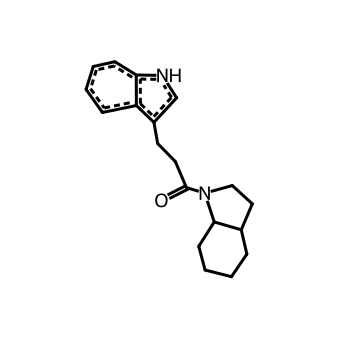 O=C(CCc1c[nH]c2ccccc12)N1CCC2CCCCC21